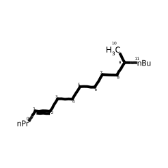 [CH2]CCC=CCCCCCCC(C)CCC[CH2]